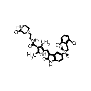 Cc1[nH]c(/C=C2\C(=O)Nc3ccc(S(=O)(=O)Cc4c(Cl)cccc4Cl)cc32)c(C)c1C(=O)NCCN1CCNC(=O)C1